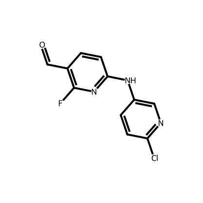 O=Cc1ccc(Nc2ccc(Cl)nc2)nc1F